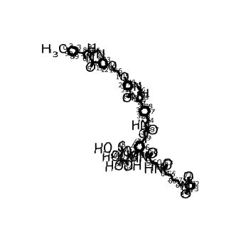 Cc1ccc(C2=CN3C(=O)c4ccc(OCCCOc5ccc6c(c5)N=C[C@@H]5CC(c7ccc(CNC(=O)OCc8ccc(O[C@@H]9OC(C(=O)O)[C@@H](O)[C@H](O)C9O)c(NC(=O)CCNC(=O)CCCCCN9C(=O)C=CC9=O)c8)cc7)=CN5C6=O)cc4N=C[C@@H]3C2)cc1